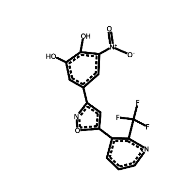 O=[N+]([O-])c1cc(-c2cc(-c3cccnc3C(F)(F)F)on2)cc(O)c1O